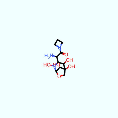 NC(C(=O)N1CCC1)C1C(O)C2(O)COC(C2O)N1O